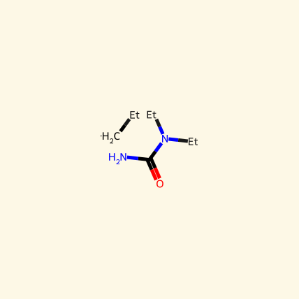 CCN(CC)C(N)=O.[CH2]CC